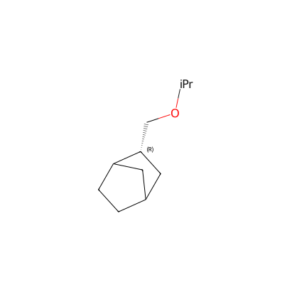 CC(C)OC[C@@H]1CC2CCC1C2